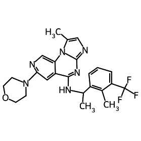 Cc1c(C(C)Nc2nc3ncc(C)n3c3cnc(N4CCOCC4)cc23)cccc1C(F)(F)F